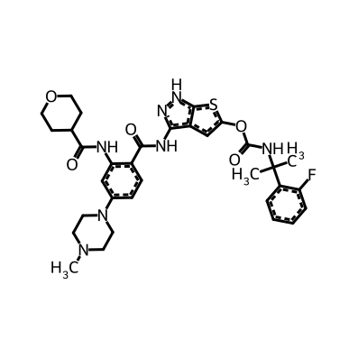 CN1CCN(c2ccc(C(=O)Nc3n[nH]c4sc(OC(=O)NC(C)(C)c5ccccc5F)cc34)c(NC(=O)C3CCOCC3)c2)CC1